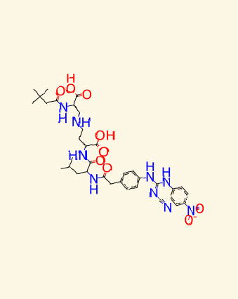 CC(C)CC(NC(=O)Cc1ccc(NC(=NC#N)Nc2ccc([N+](=O)[O-])cc2)cc1)C(=O)NC(CCNCC(NC(=O)CC(C)(C)C)C(=O)O)C(=O)O